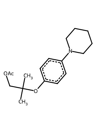 CC(=O)OCC(C)(C)Oc1ccc(N2CCCCC2)cc1